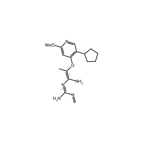 C=N/C(N)=N\C(N)=C(/C)Oc1cc(OC)ncc1C1CCCC1